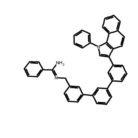 N/C(=N\Cc1cccc(-c2cccc(-c3cccc(-c4cn(-c5ccccc5)c5c4ccc4ccccc45)c3)c2)c1)c1ccccc1